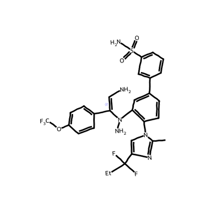 CCC(F)(F)c1cn(-c2ccc(-c3cccc(S(N)(=O)=O)c3)cc2N(N)/C(=C\N)c2ccc(OC(F)(F)F)cc2)c(C)n1